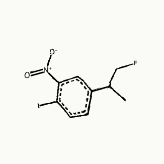 C[C](CF)c1ccc(I)c([N+](=O)[O-])c1